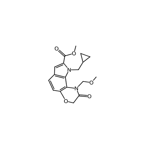 COCN1C(=O)COc2ccc3cc(C(=O)OC)n(CC4CC4)c3c21